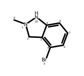 CN1Cc2c(Br)cccc2N1